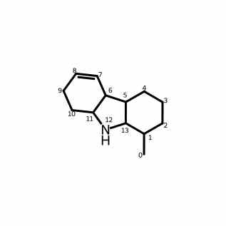 CC1CCCC2C3C=CCCC3NC12